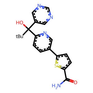 CC(C)(C)C(O)(c1cncnc1)c1ccc(-c2ccc(C(N)=O)s2)cn1